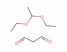 CCOC(C)OCC.O=CCC=O